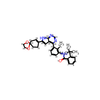 Cc1c(NC(=O)c2ccccc2C(C)(C)C)cccc1-c1ncnc2[nH]c(C3=CCC4(CC3)OCCO4)cc12